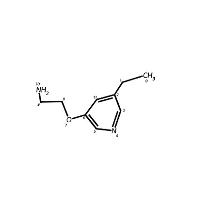 CCc1cncc(OCCN)c1